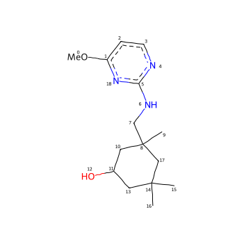 COc1ccnc(NCC2(C)CC(O)CC(C)(C)C2)n1